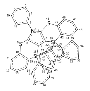 c1ccc(-n2c3c(c4c2Sc2ccccc2[Si]4(c2ccccc2)c2ccccc2)[Si](c2ccccc2)(c2ccccc2)c2ccccc2S3)cc1